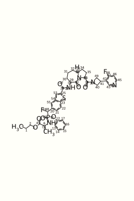 CCCOC(=O)[C@H](C)NP(=O)(Oc1ccccc1)C(F)c1ccc2sc(C(=O)N[C@H]3CCC[C@H]4CC[C@@H](C(=O)N5CC(c6cnccc6F)C5)N4C3=O)cc2c1